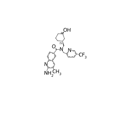 Cc1cc2cc(C(=O)N(Cc3ccc(C(F)(F)F)cn3)C[C@H]3CCC[C@@H](O)C3)ccc2nc1N